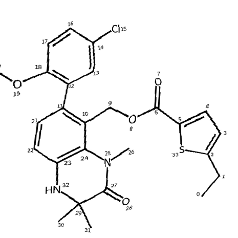 CCc1ccc(C(=O)OCc2c(-c3cc(Cl)ccc3OC)ccc3c2N(C)C(=O)C(C)(C)N3)s1